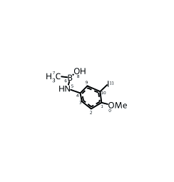 COc1ccc(NB(C)O)cc1I